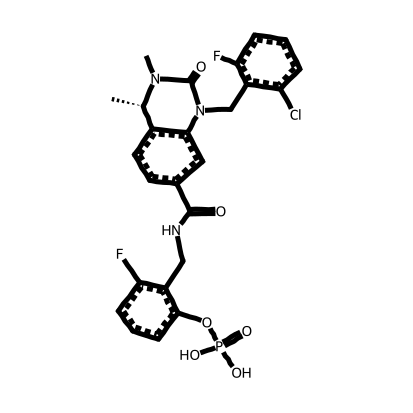 C[C@H]1c2ccc(C(=O)NCc3c(F)cccc3OP(=O)(O)O)cc2N(Cc2c(F)cccc2Cl)C(=O)N1C